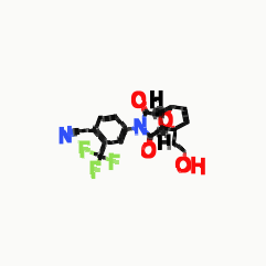 N#Cc1ccc(N2C(=O)[C@H]3C4C=CC(CCO)(O4)[C@H]3C2=O)cc1C(F)(F)F